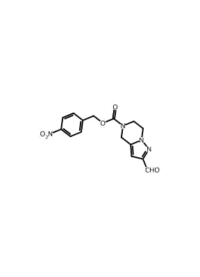 O=Cc1cc2n(n1)CCN(C(=O)OCc1ccc([N+](=O)[O-])cc1)C2